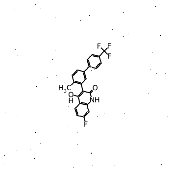 Cc1ccc(-c2ccc(C(F)(F)F)cc2)cc1-c1c(O)c2ccc(F)cc2[nH]c1=O